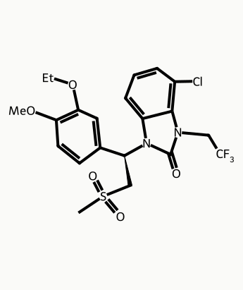 CCOc1cc([C@H](CS(C)(=O)=O)n2c(=O)n(CC(F)(F)F)c3c(Cl)cccc32)ccc1OC